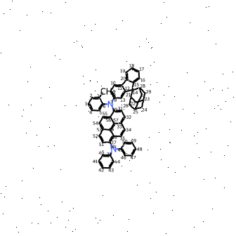 Cc1ccccc1N(c1ccc2c(c1)C1(c3ccccc3-2)C2CC3CC(C2)CC1C3)c1ccc2ccc3c(N(c4ccccc4)c4ccccc4)ccc4ccc1c2c43